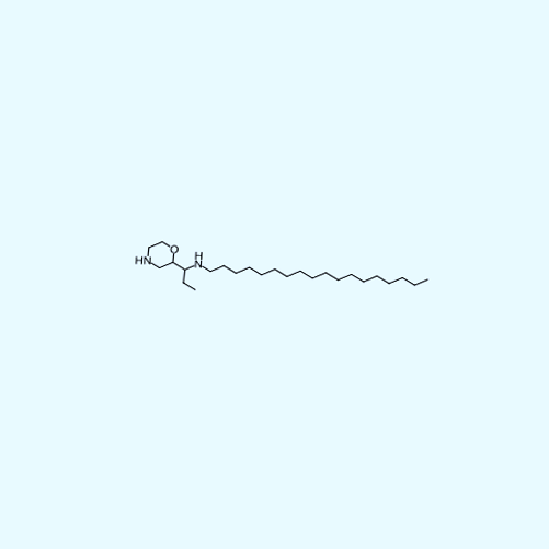 CCCCCCCCCCCCCCCCCCNC(CC)C1CNCCO1